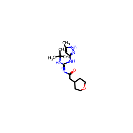 Cc1cc(N/C(=N\C(=O)CC2CCOCC2)NC(C)(C)C)n[nH]1